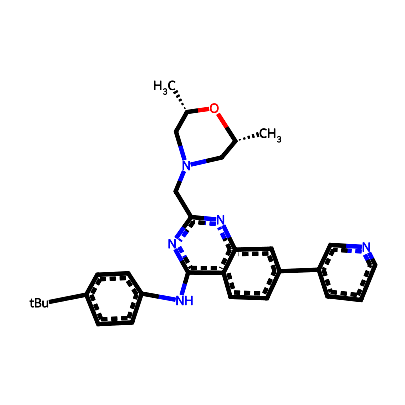 C[C@@H]1CN(Cc2nc(Nc3ccc(C(C)(C)C)cc3)c3ccc(-c4cccnc4)cc3n2)C[C@H](C)O1